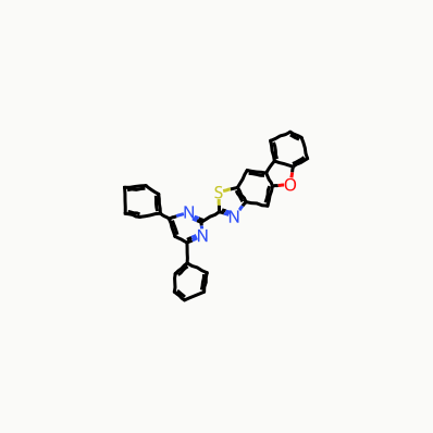 c1ccc(-c2cc(-c3ccccc3)nc(-c3nc4cc5oc6ccccc6c5cc4s3)n2)cc1